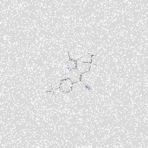 Cc1nn(C)c(/C(CC(C)(C)C(=O)O)=C(/C#N)c2ccc(C(C)(C)C)cc2)c1C